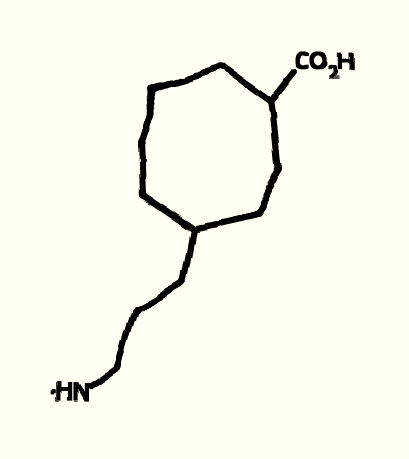 [NH]CCCC1CCCCC(C(=O)O)CC1